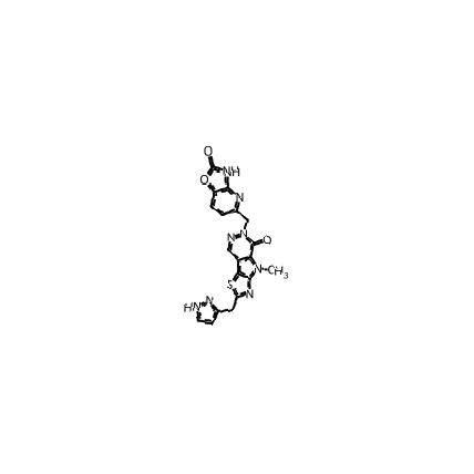 Cn1c2nc(Cc3cc[nH]n3)sc2c2cnn(Cc3ccc4oc(=O)[nH]c4n3)c(=O)c21